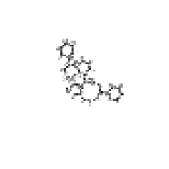 C=C1/C=C\C=C(\c2ccccc2)C/N=c2/c3cccc4c(-c5ccccc5)ccc(c(=O)n21)c43